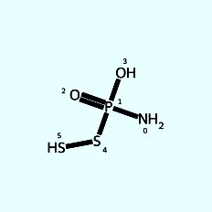 NP(=O)(O)SS